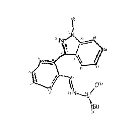 Cn1nc(-c2cccnc2/C=N/[S@@+]([O-])C(C)(C)C)c2ccccc21